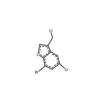 ClCc1coc2c(Br)cc(Cl)cc12